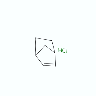 C1=CC2CCC1C2.Cl